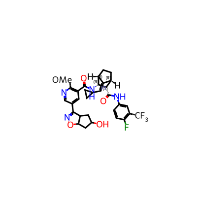 COc1ncc(C2=NOC3CC(O)CC23)cc1C(=O)N[C@H]1[C@@H](C(=O)Nc2ccc(F)c(C(F)(F)F)c2)[C@H]2CC[C@@H]1/C2=C\C1CC1